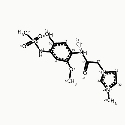 COc1cc(NS(C)(=O)=O)c(O)cc1NC(=O)Cn1cc[n+](C)c1.[Cl-]